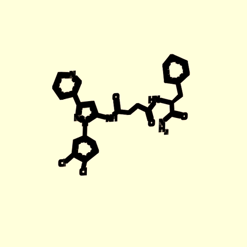 NC(=O)[C@H](Cc1ccccc1)NC(=O)CCC(=O)Nc1cc(-c2cccnc2)nn1-c1ccc(Cl)c(Cl)c1